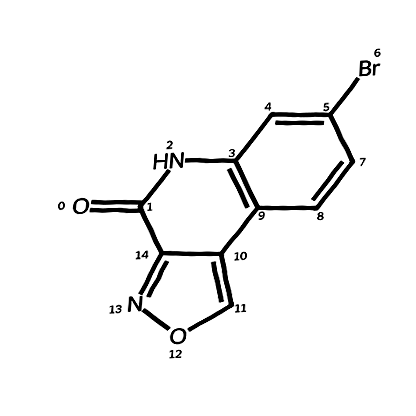 O=c1[nH]c2cc(Br)ccc2c2conc12